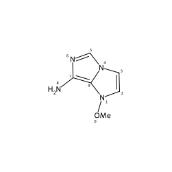 COn1ccn2cnc(N)c12